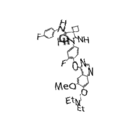 CCN(CC)CCOc1cc2ncnc(Oc3ccc(NC(=N)C4(C(=O)Nc5ccc(F)cc5)CCC4)cc3F)c2cc1OC